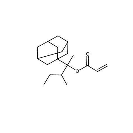 C=CC(=O)OC(C)(C(C)CC)C12CC3CC(CC(C3)C1)C2